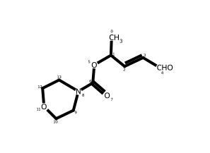 CC(C=CC=O)OC(=O)N1CCOCC1